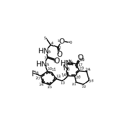 COC(=O)C(C)NC(=O)Nc1cc(Cc2n[nH]c(=O)c3c2CCCC3)ccc1F